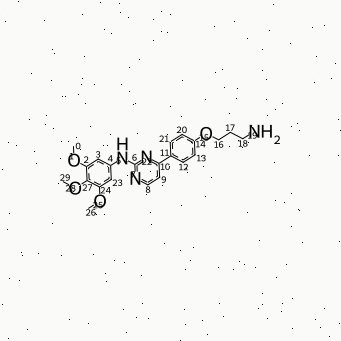 COc1cc(Nc2nccc(-c3ccc(OCCCN)cc3)n2)cc(OC)c1OC